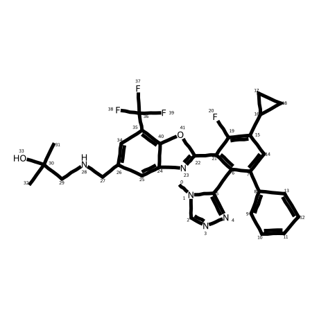 Cn1cnnc1-c1c(-c2ccccc2)cc(C2CC2)c(F)c1-c1nc2cc(CNCC(C)(C)O)cc(C(F)(F)F)c2o1